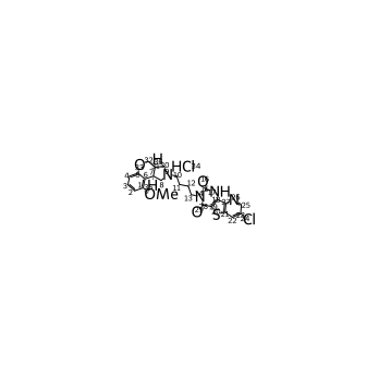 COc1cccc2c1[C@@H]1CN(CCCCn3c(=O)[nH]c4c(sc5cc(Cl)cnc54)c3=O)C[C@@H]1CO2.Cl